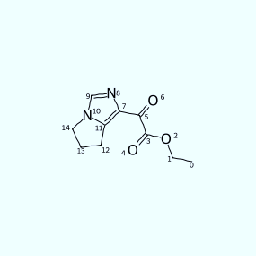 CCOC(=O)C(=O)c1ncn2c1CCC2